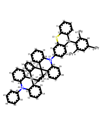 CC(C)c1cc(C(C)C)c(B2c3ccccc3Sc3cc(N4c5ccccc5C5(c6ccccc64)c4ccccc4[Si]4(c6ccccc6N(c6ccccc6)c6ccccc64)c4ccccc45)ccc32)c(C(C)C)c1